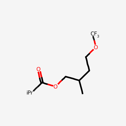 CC(CCOC(F)(F)F)COC(=O)C(C)C